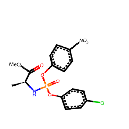 COC(=O)[C@H](C)NP(=O)(Oc1ccc(Cl)cc1)Oc1ccc([N+](=O)[O-])cc1